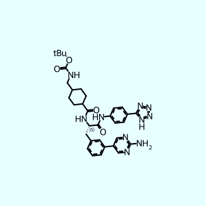 CC(C)(C)OC(=O)NCC1CCC(C(=O)N[C@@H](Cc2cccc(-c3cnc(N)nc3)c2)C(=O)Nc2ccc(-c3nnn[nH]3)cc2)CC1